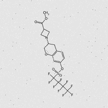 COC(=O)C1CN(C2COc3cc(OS(=O)(=O)C(F)(F)C(F)(F)C(F)(F)C(F)(F)F)ccc3C2)C1